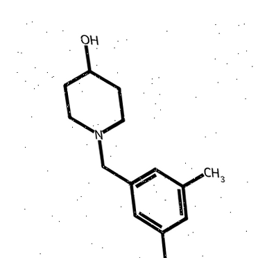 Cc1cc(F)cc(CN2CCC(O)CC2)c1